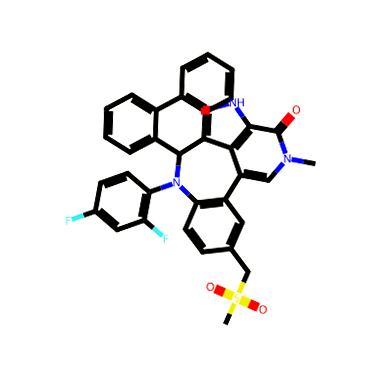 Cn1cc2c3c(c[nH]c3c1=O)C(c1ccccc1-c1ccccc1)N(c1ccc(F)cc1F)c1ccc(CS(C)(=O)=O)cc1-2